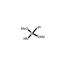 CCCC[Si](CCC)(OC)OC